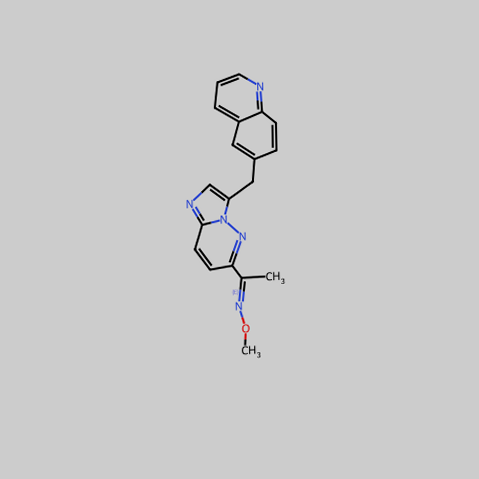 CO/N=C(\C)c1ccc2ncc(Cc3ccc4ncccc4c3)n2n1